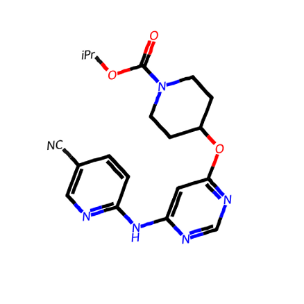 CC(C)OC(=O)N1CCC(Oc2cc(Nc3ccc(C#N)cn3)ncn2)CC1